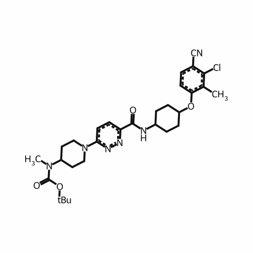 Cc1c(OC2CCC(NC(=O)c3ccc(N4CCC(N(C)C(=O)OC(C)(C)C)CC4)nn3)CC2)ccc(C#N)c1Cl